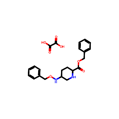 O=C(O)C(=O)O.O=C(OCc1ccccc1)C1CCC(NOCc2ccccc2)CN1